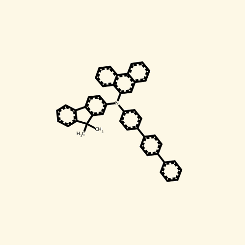 CC1(C)c2ccccc2-c2ccc(N(c3ccc(-c4ccc(-c5ccccc5)cc4)cc3)c3cc4ccccc4c4ccccc34)cc21